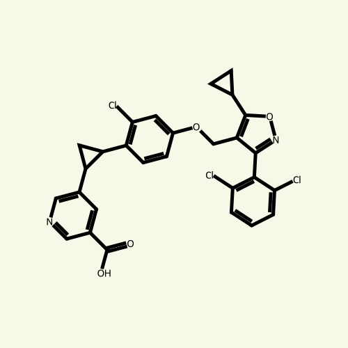 O=C(O)c1cncc(C2CC2c2ccc(OCc3c(-c4c(Cl)cccc4Cl)noc3C3CC3)cc2Cl)c1